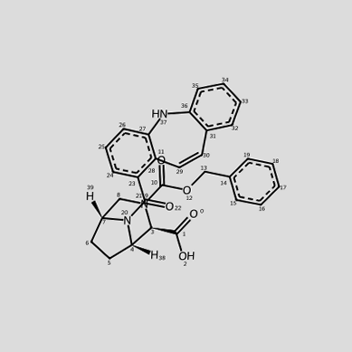 O=C(O)[C@H]1[C@@H]2CC[C@H](CN1C(=O)OCc1ccccc1)N2C(=O)c1cccc2c1C=Cc1ccccc1N2